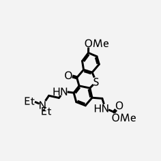 CCN(CC)CCNc1ccc(CNC(=O)OC)c2sc3ccc(OC)cc3c(=O)c12